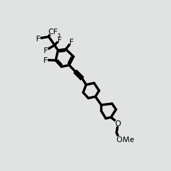 COCOC1CCC(C2CCC(C#Cc3cc(F)c(C(F)(F)C(F)C(F)(F)F)c(F)c3)CC2)CC1